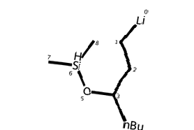 [Li][CH2]CC(CCCC)O[SiH](C)C